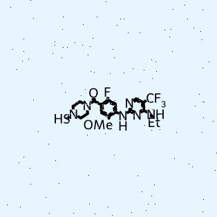 CCNc1nc(Nc2cc(F)c(C(=O)N3CCN(S)CC3)cc2OC)ncc1C(F)(F)F